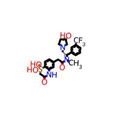 CN(C(=O)Cc1ccc2c(c1)NC(=O)CS2(O)O)[C@H](CN1CC[C@H](O)C1)c1cccc(C(F)(F)F)c1